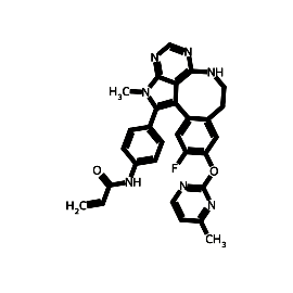 C=CC(=O)Nc1ccc(-c2c3c4c(ncnc4n2C)NCCc2cc(Oc4nccc(C)n4)c(F)cc2-3)cc1